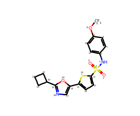 O=S(=O)(Nc1ccc(OC(F)(F)F)cc1)c1ccc(-c2cnc(C3CCC3)o2)s1